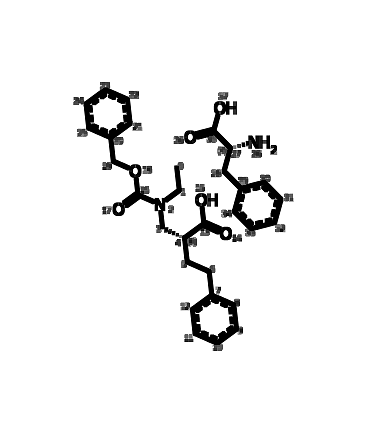 CCN(C[C@@H](CCc1ccccc1)C(=O)O)C(=O)OCc1ccccc1.N[C@H](Cc1ccccc1)C(=O)O